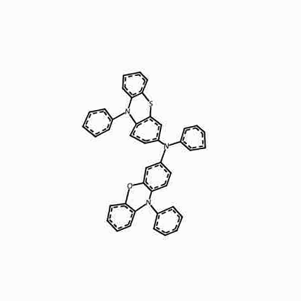 c1ccc(N(c2ccc3c(c2)Oc2ccccc2N3c2ccccc2)c2ccc3c(c2)Sc2ccccc2N3c2ccccc2)cc1